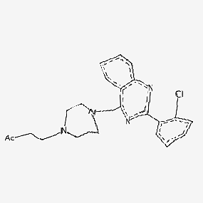 CC(=O)CCN1CCN(c2nc(-c3ccccc3Cl)nc3ccccc23)CC1